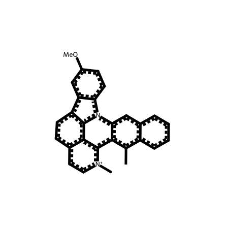 COc1ccc2c(c1)c1ccc3cc[n+](C)c4c5c(C)c6ccccc6cc5n2c1c34